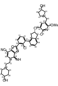 COc1nc(O[C@H]2CCc3c(-c4cccc(-c5nc6c(=N)n(CCN7CCC(O)CC7)cc(C#N)c6o5)c4Cl)cccc32)c(Cl)cc1CN1CC[C@@H](O)C1